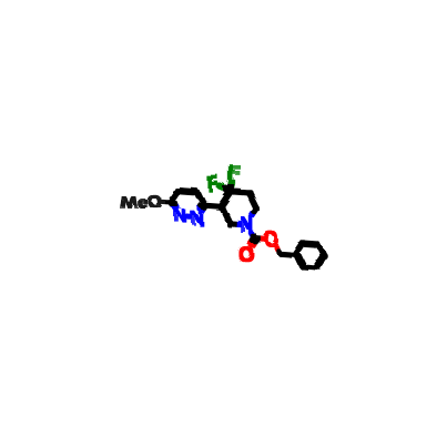 COc1ccc(C2CN(C(=O)OCc3ccccc3)CCC2(F)F)nn1